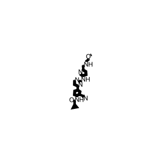 COCCNCc1ccc(Nc2nccc(-c3ccc(NC(=O)C4CC4)c(C#N)c3)n2)cn1